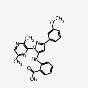 COc1cccc(-c2cc(Nc3ccccc3C(=O)O)n(-c3nc(C)cnc3C)n2)c1